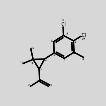 C=C(C)C1C(c2cc(C)c(Cl)c(Cl)c2)C1(C)C